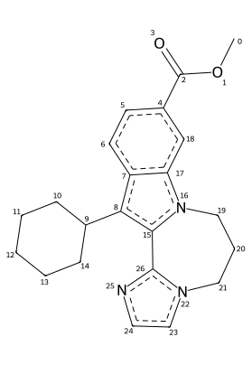 COC(=O)c1ccc2c(C3CCCCC3)c3n(c2c1)CCCn1ccnc1-3